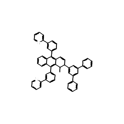 CC1c2c(c(-c3cccc(-c4ccccn4)c3)c3ccccc3c2-c2cccc(-c3ccccn3)c2)C=CC1c1cc(-c2ccccc2)cc(-c2ccccc2)c1